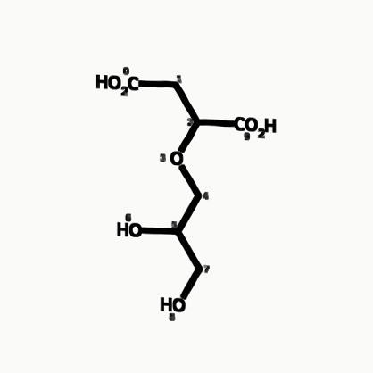 O=C(O)CC(OCC(O)CO)C(=O)O